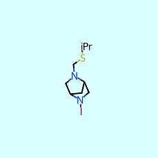 CC(C)SCN1CC2CC1CN2I